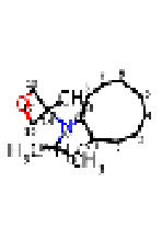 CC1CCCCCCCC1N(C(C)C)C1(C)COC1